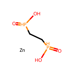 O=[PH](O)CC[PH](=O)O.[Zn]